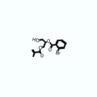 C=C(C)C(=O)OCC(CO)OC(=O)c1ccccc1Br